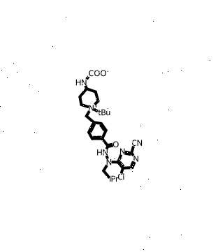 CC(C)CN(NC(=O)c1ccc(C[N+]2(C(C)(C)C)CCC(NC(=O)[O-])CC2)cc1)c1nc(C#N)ncc1Cl